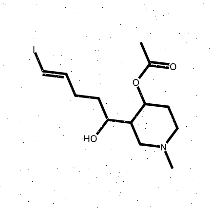 CC(=O)OC1CCN(C)CC1C(O)CC/C=C/I